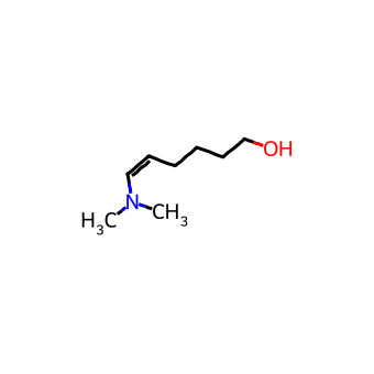 CN(C)/C=C\CCCCO